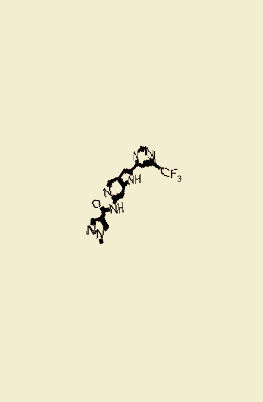 Cn1cc(C(=O)Nc2cc3[nH]c(-c4cc(C(F)(F)F)ncn4)cc3cn2)cn1